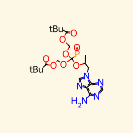 CC(Cn1cnc2c(N)ncnc21)OC(OCOC(=O)C(C)(C)C)(OCOC(=O)C(C)(C)C)P=O